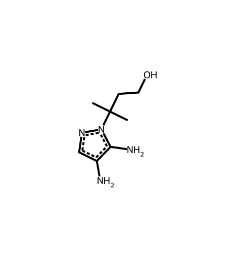 CC(C)(CCO)n1ncc(N)c1N